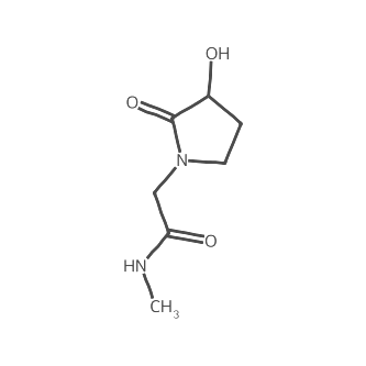 CNC(=O)CN1CCC(O)C1=O